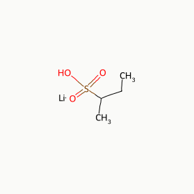 CCC(C)S(=O)(=O)O.[Li]